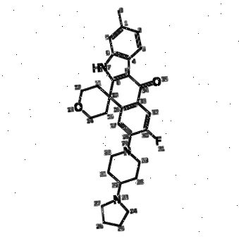 Cc1ccc2c3c([nH]c2c1)C1(CCOCC1)c1cc(N2CCC(N4CCCC4)CC2)c(F)cc1C3=O